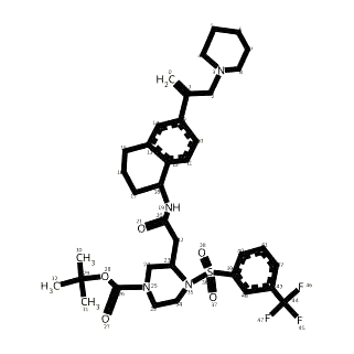 C=C(CN1CCCCC1)c1ccc2c(c1)CCCC2NC(=O)CC1CN(C(=O)OC(C)(C)C)CCN1S(=O)(=O)c1cccc(C(F)(F)F)c1